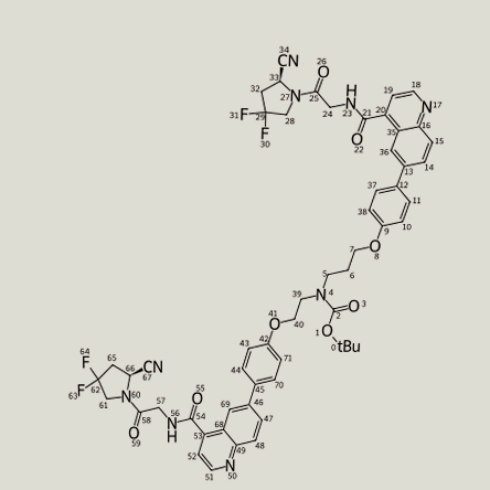 CC(C)(C)OC(=O)N(CCCOc1ccc(-c2ccc3nccc(C(=O)NCC(=O)N4CC(F)(F)C[C@H]4C#N)c3c2)cc1)CCOc1ccc(-c2ccc3nccc(C(=O)NCC(=O)N4CC(F)(F)C[C@H]4C#N)c3c2)cc1